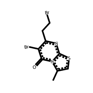 Cc1csc2nc(CCBr)c(Br)c(=O)n12